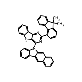 CC1(C)c2ccccc2-c2c(-c3nc(-n4c5ccccc5c5cc6ccccc6cc54)c4sc5ccccc5c4n3)cccc21